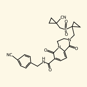 N#Cc1ccc(CNC(=O)c2ccc3n(c2=O)CCN(CC2(S(=O)(=O)CC4(C#N)CC4)CC2)C3=O)cc1